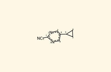 N#Cc1ncc(C2CC2)cn1